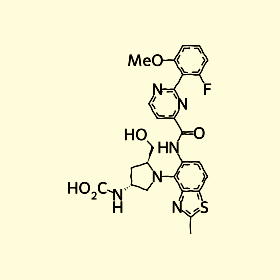 COc1cccc(F)c1-c1nccc(C(=O)Nc2ccc3sc(C)nc3c2N2C[C@H](NC(=O)O)C[C@H]2CO)n1